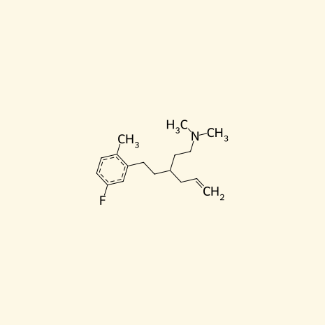 C=CCC(CCc1cc(F)ccc1C)CCN(C)C